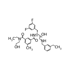 CCc1cccc(CNC[C@@H](O)[C@H](Cc2cc(F)cc(F)c2)NC(=O)c2cc(C)cc(C(=O)N(CC)CCO)c2)c1